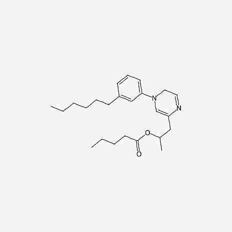 CCCCCCc1cccc(N2C=C(CC(C)OC(=O)CCCC)N=CC2)c1